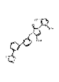 CCCCc1cn(-c2c(C(C)=O)ccn2CCC)c(=O)n1Cc1cc(-c2cccc(-c3nnn[nH]3)c2)ccn1